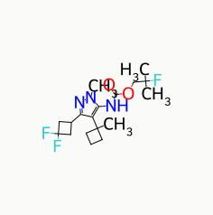 Cn1nc(C2CC(F)(F)C2)c(C2(C)CCC2)c1NC(=O)OCC(C)(C)F